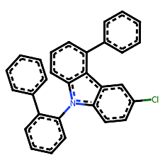 Clc1ccc2c(c1)c1c(-c3ccccc3)cccc1n2-c1ccccc1-c1ccccc1